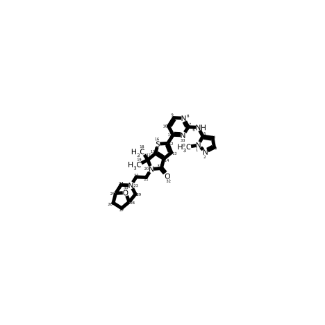 Cn1nccc1Nc1nccc(-c2cc3c(s2)C(C)(C)N(CCN2CC4CCC(C2)O4)C3=O)n1